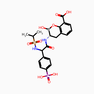 CC(C)S(=O)(=O)NC(C(=O)N[C@H]1Cc2cccc(C(=O)O)c2OB1O)c1ccc(P(=O)(O)O)cc1